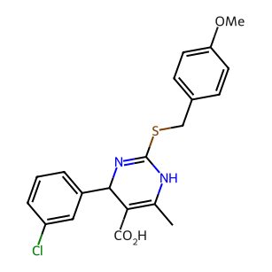 COc1ccc(CSC2=NC(c3cccc(Cl)c3)C(C(=O)O)=C(C)N2)cc1